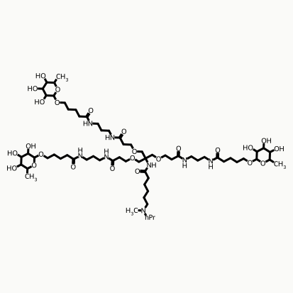 CCCN(C)CCCCCC(=O)NC(COCCC(=O)NCCCNC(=O)CCCCOC1OC(C)C(O)C(O)C1O)(COCCC(=O)NCCCNC(=O)CCCCOC1OC(C)C(O)C(O)C1O)COCCC(=O)NCCCNC(=O)CCCCOC1OC(C)C(O)C(O)C1O